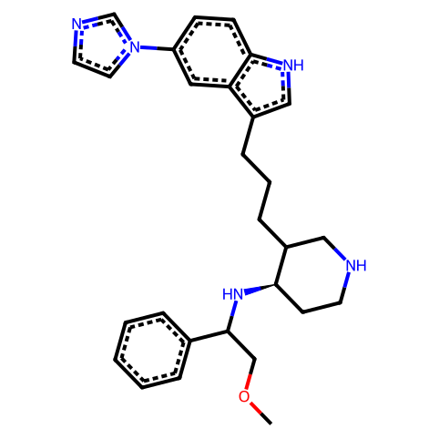 COCC(N[C@@H]1CCNCC1CCCc1c[nH]c2ccc(-n3ccnc3)cc12)c1ccccc1